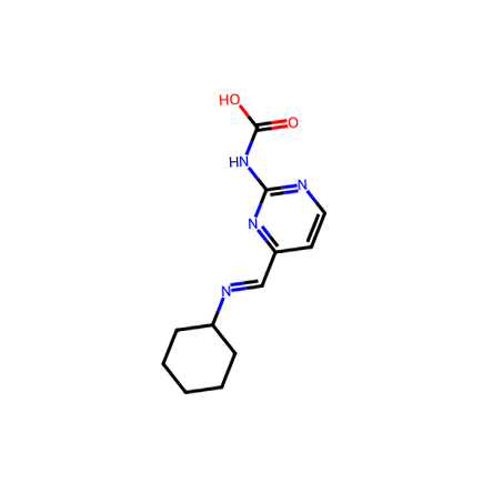 O=C(O)Nc1nccc(/C=N/C2CCCCC2)n1